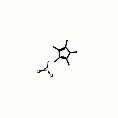 CC1=C(C)C(C)C(C)=C1C.[Cl][Rh]([Cl])[Cl]